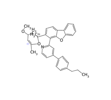 CCCc1ccc(-c2ccnc(-c3c([C@H](C)O/C(C)=C\C(C)OC)ccc4c3oc3ccccc34)c2)cc1